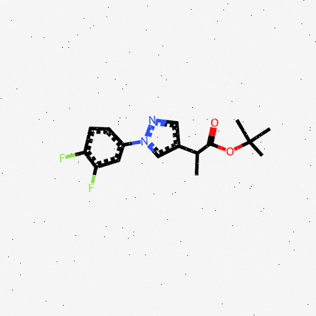 CC(C(=O)OC(C)(C)C)c1cnn(-c2ccc(F)c(F)c2)c1